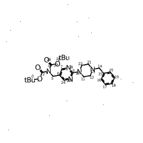 CC(C)(C)OC(=O)N(Cc1cnc(N2CCN(Cc3ccccc3)CC2)nc1)C(=O)OC(C)(C)C